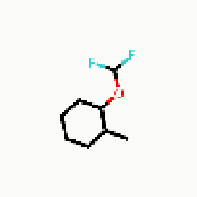 CC1CCCCC1OC(F)F